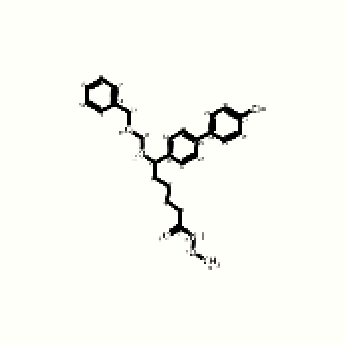 CONC(=O)CCCCC(OCOCc1ccccc1)c1ccc(-c2ccc(Cl)cc2)cc1